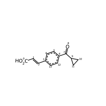 O=C(O)/C=C/c1ccc(C(=O)C2CC2)cc1